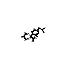 CC(C)Cc1ccc(C2(C(C)Cl)OCC(O)CO2)cc1